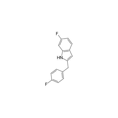 Fc1ccc(Cc2cc3ccc(F)cc3[nH]2)cc1